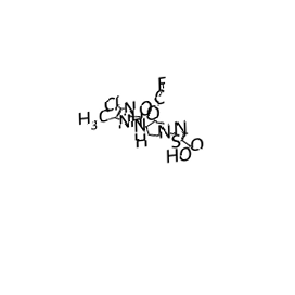 CCc1[nH]c(C(=O)NC2CCN(c3ncc(C(=O)O)s3)CC2OCCCF)nc1Cl